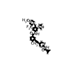 Cc1ccc(C(=O)Nc2cc(-n3ccnc3)c(CN3CCN(C)CC3)c(C(F)(F)F)c2)cc1C#Cc1cnc(NC(=O)C2CC2)nc1